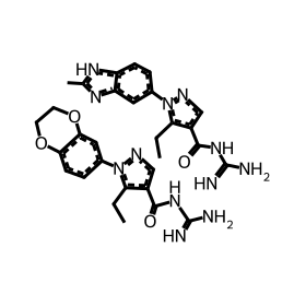 CCc1c(C(=O)NC(=N)N)cnn1-c1ccc2[nH]c(C)nc2c1.CCc1c(C(=O)NC(=N)N)cnn1-c1ccc2c(c1)OCCO2